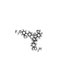 Cc1cc(-c2ccc(C(F)(F)F)cc2Cl)ccc1COc1c(-c2csc(N3CCC(C(=O)O)CC3)n2)cccc1C(F)(F)F